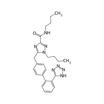 CCCCNC(=O)c1nc(Cc2ccc(-c3ccccc3-c3nnn[nH]3)cc2)n(CCCC)n1